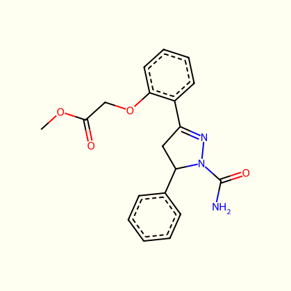 COC(=O)COc1ccccc1C1=NN(C(N)=O)C(c2ccccc2)C1